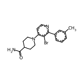 Cc1cccc(-c2nccc(N3CCC(C(N)=O)CC3)c2Br)c1